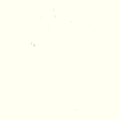 CCc1ccc(-c2ccc(Cl)cc2)cc1C1=C(O)[C@H]2[C@@H](C1=O)C1(C)C=CC2(C)O1